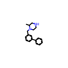 CC1CNCCN1Cc1cccc(-c2ccccc2)c1